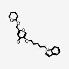 O=c1cc(COC2CCCCO2)occ1OCCCCCn1ccc2ccccc21